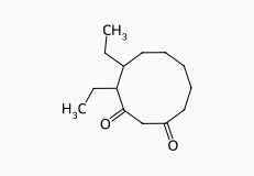 CCC1CCCCCC(=O)CC(=O)C1CC